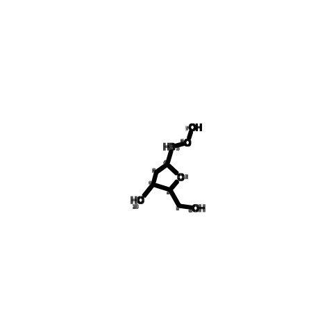 OCC1OC(BOO)CC1O